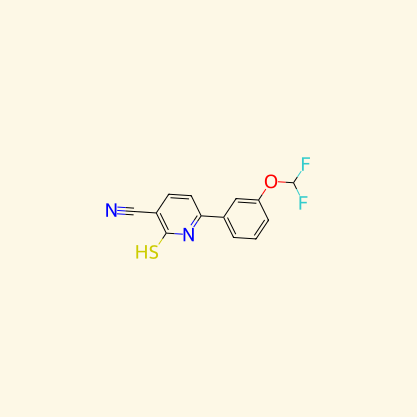 N#Cc1ccc(-c2cccc(OC(F)F)c2)nc1S